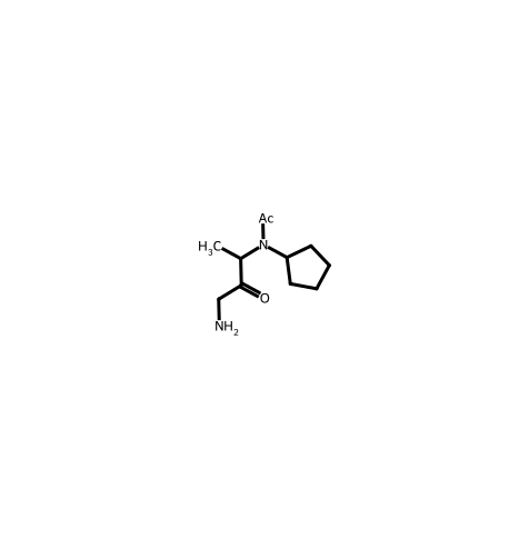 CC(=O)N(C1CCCC1)C(C)C(=O)CN